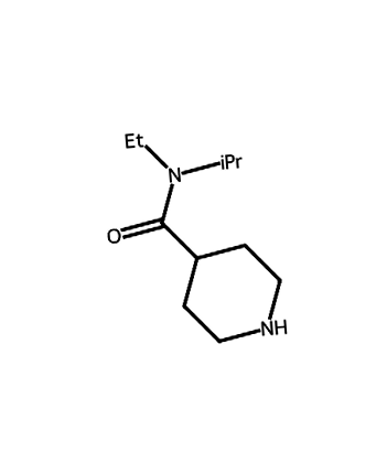 CCN(C(=O)C1CCNCC1)C(C)C